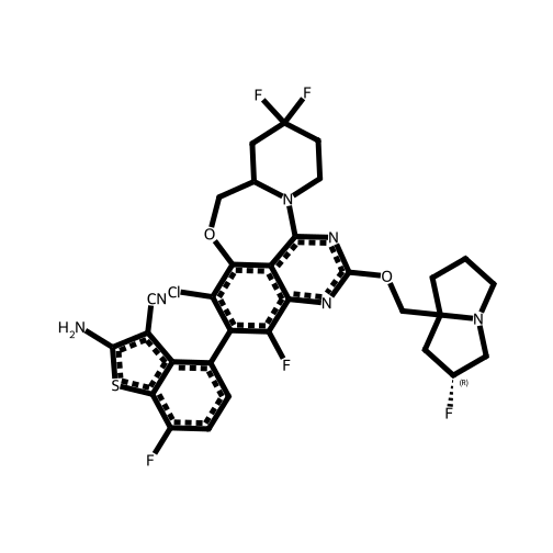 N#Cc1c(N)sc2c(F)ccc(-c3c(Cl)c4c5c(nc(OCC67CCCN6C[C@H](F)C7)nc5c3F)N3CCC(F)(F)CC3CO4)c12